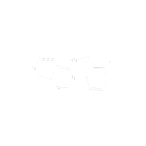 Cc1nc(N[C@H](C)c2ccccc2Cl)c2ccncc2n1